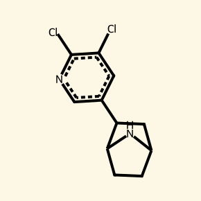 Clc1cc(C2CC3CCC2N3)cnc1Cl